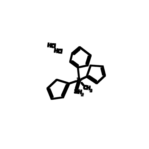 Cl.Cl.[CH3][Zr](=[SiH2])([C]1=CC=CC1)([C]1=CC=CC1)[c]1ccccc1